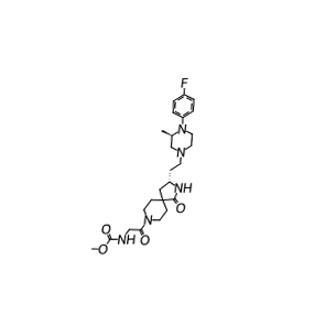 COC(=O)NCC(=O)N1CCC2(CC1)C[C@H](CCN1CCN(c3ccc(F)cc3)[C@H](C)C1)NC2=O